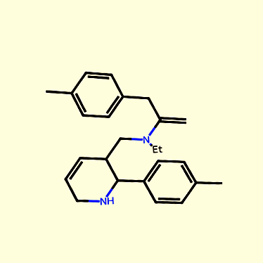 C=C(Cc1ccc(C)cc1)N(CC)CC1C=CCNC1c1ccc(C)cc1